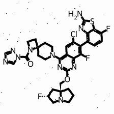 Nc1nc2c(-c3c(Cl)cc4c(N5CCC6(CC5)CCN6C(=O)n5cncn5)nc(OC[C@@]56CCCN5C[C@H](F)C6)nc4c3F)ccc(F)c2s1